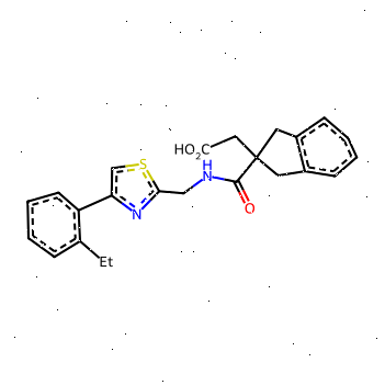 CCc1ccccc1-c1csc(CNC(=O)C2(CC(=O)O)Cc3ccccc3C2)n1